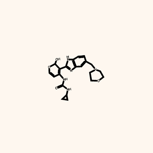 O=C(NC1=C(c2nc3cc(CN4CCOCC4)ccc3[nH]2)C(O)OC=C1)NC1CC1